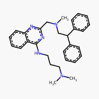 CN(C)CCCNc1nc(CN(C)CC(c2ccccc2)c2ccccc2)nc2ccccc12